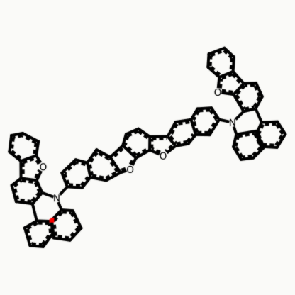 c1ccc(-c2ccc3c(oc4ccccc43)c2N(c2ccccc2)c2ccc3cc4c(cc3c2)oc2c4ccc3c4cc5ccc(N(c6ccccc6)c6c(-c7ccccc7)ccc7c6oc6ccccc67)cc5cc4oc32)cc1